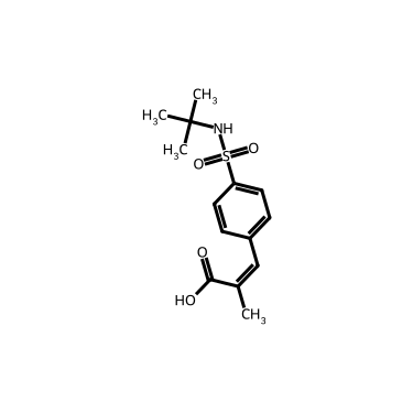 CC(=Cc1ccc(S(=O)(=O)NC(C)(C)C)cc1)C(=O)O